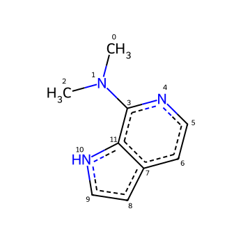 CN(C)c1nccc2cc[nH]c12